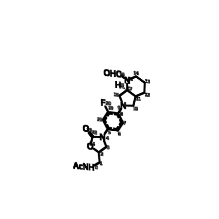 CC(=O)NCC1CN(c2ccc(N3CC4CCCN(C=O)[C@@H]4C3)c(F)c2)C(=O)O1